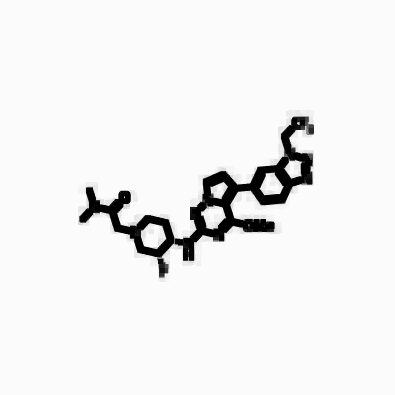 COc1nc(N[C@H]2CCN(CC(=O)N(C)C)C[C@H]2F)nn2ccc(-c3ccc4nnn(CC(F)(F)F)c4c3)c12